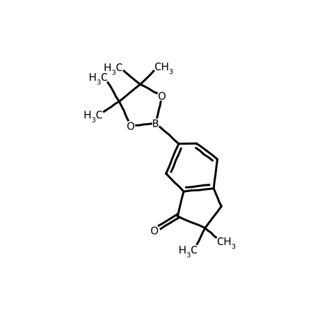 CC1(C)Cc2ccc(B3OC(C)(C)C(C)(C)O3)cc2C1=O